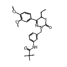 CCC1SC(=O)N(Cc2cccc(NC(=O)C(C)(C)C)c2)N=C1c1ccc(OC)c(OC)c1